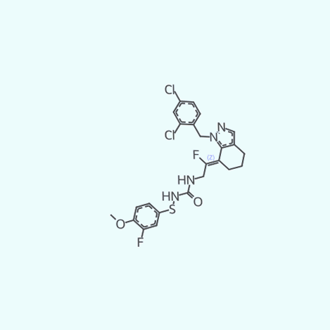 COc1ccc(SNC(=O)NC/C(F)=C2\CCCc3cnn(Cc4ccc(Cl)cc4Cl)c32)cc1F